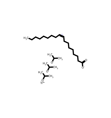 CC(C)[O-].CC(C)[O-].CC(C)[O-].CCCCCCCC/C=C\CCCCCCCC(=O)[O-].[Ti+4]